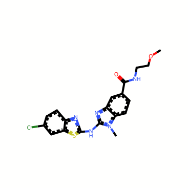 COCCNC(=O)c1ccc2c(c1)nc(Nc1nc3ccc(Cl)cc3s1)n2C